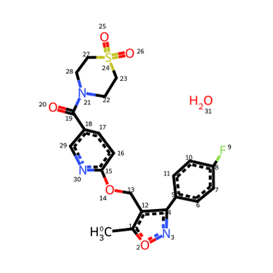 Cc1onc(-c2ccc(F)cc2)c1COc1ccc(C(=O)N2CCS(=O)(=O)CC2)cn1.O